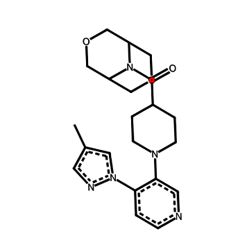 Cc1cnn(-c2ccncc2N2CCC(C(=O)N3C4COCC3COC4)CC2)c1